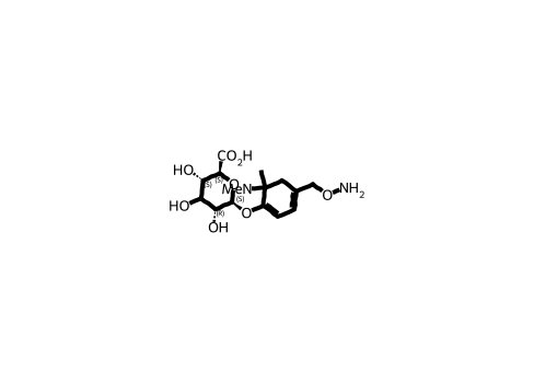 CNC1(C)CC(CON)=CC=C1O[C@@H]1O[C@H](C(=O)O)[C@@H](O)C(O)[C@H]1O